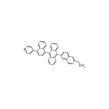 CCc1ccc2cc(-c3c4ccccc4c(-c4ccc(-c5ccncc5)c5ccccc45)c4ccccc34)ccc2c1